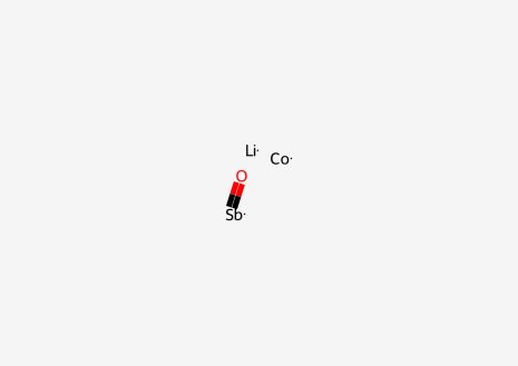 [Co].[Li].[O]=[Sb]